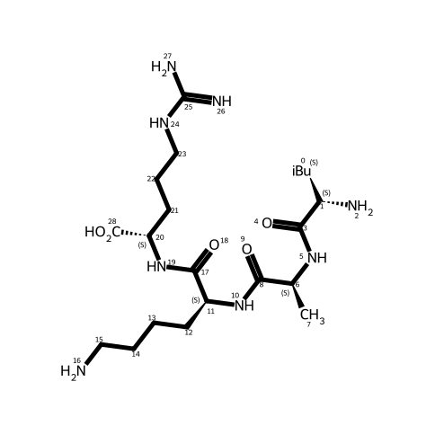 CC[C@H](C)[C@H](N)C(=O)N[C@@H](C)C(=O)N[C@@H](CCCCN)C(=O)N[C@@H](CCCNC(=N)N)C(=O)O